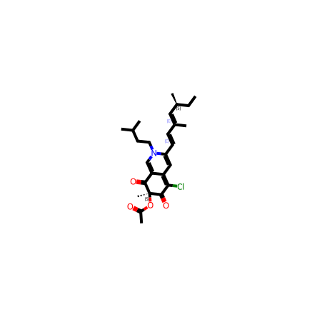 CC[C@H](C)/C=C(C)/C=C/C1=CC2=C(Cl)C(=O)[C@@](C)(OC(C)=O)C(=O)C2=CN1CCC(C)C